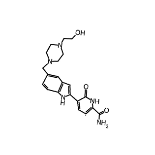 NC(=O)c1[c]cc(-c2cc3cc(CN4CCN(CCO)CC4)ccc3[nH]2)c(=O)[nH]1